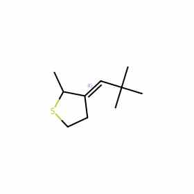 CC1SCC/C1=C\C(C)(C)C